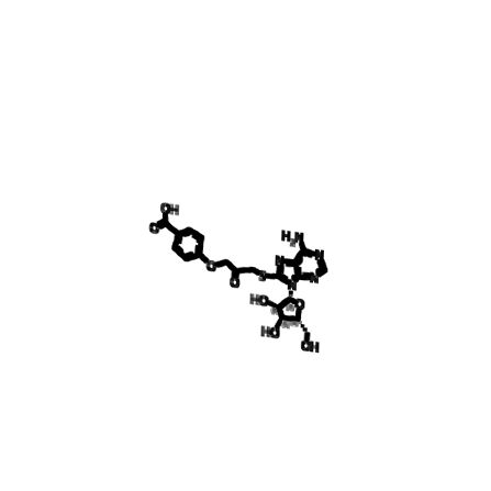 Nc1ncnc2c1nc(SCC(=O)COc1ccc(C(=O)O)cc1)n2[C@@H]1O[C@H](CO)[C@@H](O)[C@H]1O